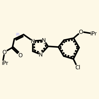 CC(C)OC(=O)/C=C\n1cnc(-c2cc(Cl)cc(OC(C)C)c2)n1